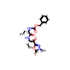 CC(C)C[C@H](NC(=O)OCc1ccccc1)C(=O)N[C@@H](CC(C)C)C(=O)c1nn(C(C)C)c(=S)o1